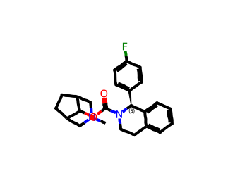 CN1CC2CCC(C1)C2OC(=O)N1CCc2ccccc2[C@@H]1c1ccc(F)cc1